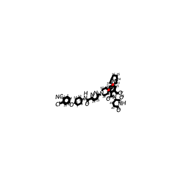 N#Cc1ccc(O[C@H]2CC[C@H](NC(=O)c3ccc(N4CCC(CN5CC6CCC(C5)N6c5ccc6c(c5)C(=O)N(C5CCC(=O)NC5=O)C6=O)CC4)nn3)CC2)cc1Cl